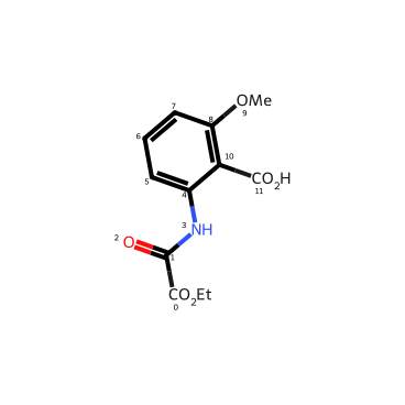 CCOC(=O)C(=O)Nc1cccc(OC)c1C(=O)O